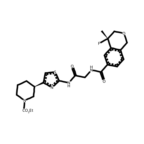 CCOC(=O)N1CCC[C@@H](c2csc(NC(=O)CNC(=O)c3ccc4c(c3)[C@](C)(F)COC4)n2)C1